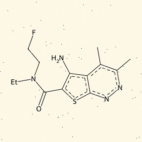 CCN(CCF)C(=O)c1sc2nnc(C)c(C)c2c1N